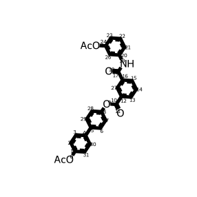 CC(=O)Oc1ccc(-c2ccc(OC(=O)c3cccc(C(=O)Nc4cccc(OC(C)=O)c4)c3)cc2)cc1